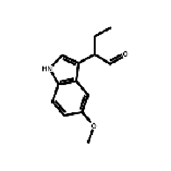 CCC(C=O)c1c[nH]c2ccc(OC)cc12